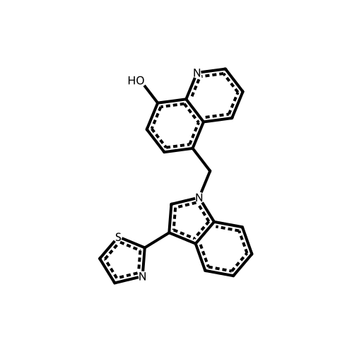 Oc1ccc(Cn2cc(-c3nccs3)c3ccccc32)c2cccnc12